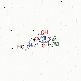 O=C(O)N1CCC(Oc2cc(=O)n(-c3ccc(Cl)c(Cl)c3)nc2CO)CC1